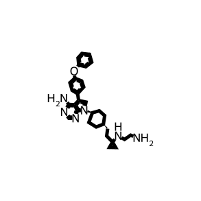 NCCNC1(CC[C@H]2CC[C@H](n3cc(-c4ccc(Oc5ccccc5)cc4)c4c(N)ncnc43)CC2)CC1